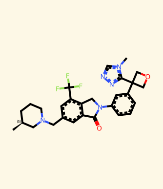 C[C@H]1CCCN(Cc2cc3c(c(C(F)(F)F)c2)CN(c2cccc(C4(c5nncn5C)COC4)c2)C3=O)C1